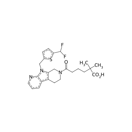 CC(C)(CCCC(=O)N1CCc2c(n(Cc3ccc(C(F)F)s3)c3ncccc23)C1)C(=O)O